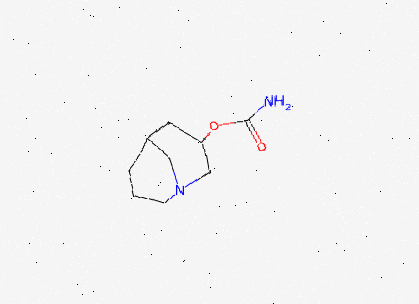 NC(=O)OC1CC2CCCN(C2)C1